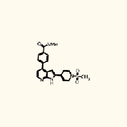 CNC(=O)c1ccc(-c2ccnc3[nH]c(C4=CCN(S(C)(=O)=O)CC4)cc23)cc1